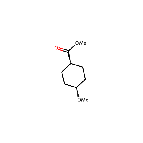 COC(=O)[C@H]1CC[C@@H](OC)CC1